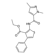 CCOC(=O)c1c(-c2ccccc2)csc1NC(=O)c1cc(C)nn1C